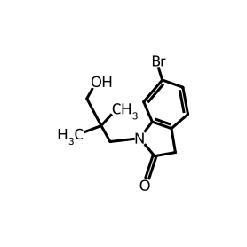 CC(C)(CO)CN1C(=O)Cc2ccc(Br)cc21